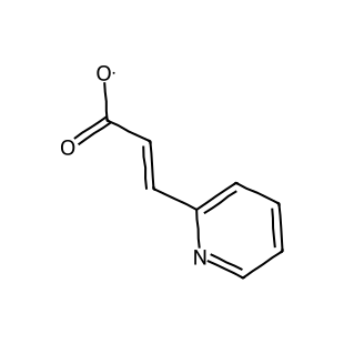 [O]C(=O)C=Cc1ccccn1